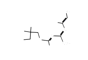 CCC/C=C(C)/N=C(\N=C(/C)OCC(C)(F)CP)NC